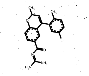 Cc1ccc(Cl)cc1C1=CC(C)Oc2ccc(C(=O)N=C(N)N)cc21